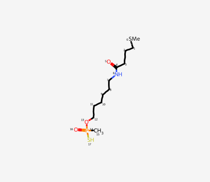 CSCCCC(=O)NCCCCCCOP(C)(=O)S